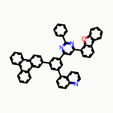 c1ccc(-c2nc(-c3cc(-c4ccc5c6ccccc6c6ccccc6c5c4)cc(-c4cccc5ncccc45)c3)cc(-c3cccc4c3oc3ccccc34)n2)cc1